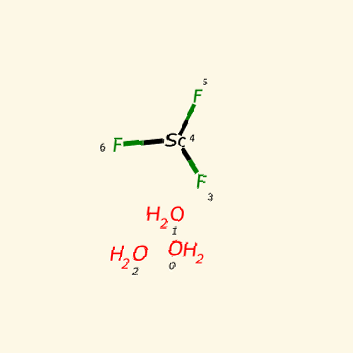 O.O.O.[F][Sc]([F])[F]